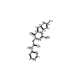 CC(C)c1nn(CC(=O)Nc2ccncn2)c(=O)c2cc3sc(F)cc3n12